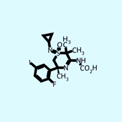 CC1(C)C(NC(=O)O)=N[C@](C)(c2cc(I)ccc2F)CS1(=O)=NC1CC1